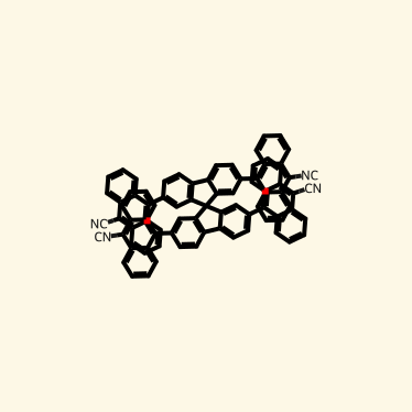 [C-]#[N+]c1c2ccccc2c(-c2ccc3c(c2)C2(c4cc(-c5c6ccccc6c(C#N)c6ccccc56)ccc4-3)c3cc(-c4c5ccccc5c(C#N)c5ccccc45)ccc3-c3ccc(-c4c5ccccc5c([N+]#[C-])c5ccccc45)cc32)c2ccccc12